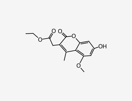 CCOC(=O)Cc1c(C)c2c(OC)cc(O)cc2oc1=O